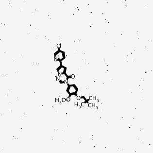 COc1cc(-n2cnn3cc(-c4ccc(Cl)cn4)cc3c2=O)ccc1OCC(C)(C)C